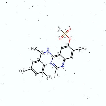 COc1cc2nc(C)nc(N[C@H](C)c3cc([N+](=O)[O-])cc(C(F)(F)F)c3)c2cc1OS(=O)(=O)C(F)(F)F